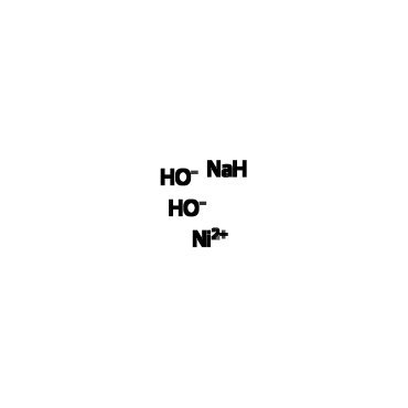 [NaH].[Ni+2].[OH-].[OH-]